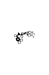 CCN(CC)CCOC(=O)[C@H]1C[C@@H]1C(=O)c1ccc(Cl)c(Cl)c1